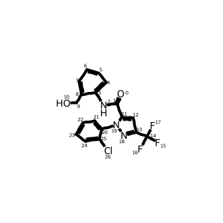 O=C(Nc1ccccc1CO)c1cc(C(F)(F)F)nn1-c1ccccc1Cl